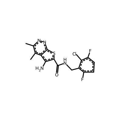 Cc1nnc2sc(C(=O)NCc3c(F)ccc(F)c3Cl)c(N)c2c1C